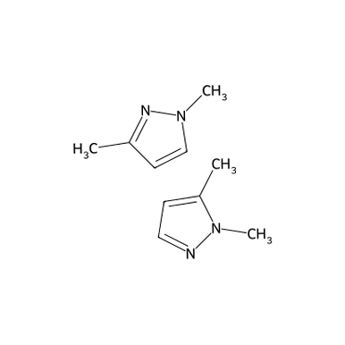 Cc1ccn(C)n1.Cc1ccnn1C